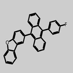 Fc1ccc(-c2c3ccccc3c(-c3ccc4oc5ccccc5c4c3)c3ccccc23)cc1